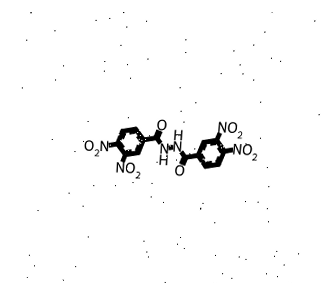 O=C(NNC(=O)c1ccc([N+](=O)[O-])c([N+](=O)[O-])c1)c1ccc([N+](=O)[O-])c([N+](=O)[O-])c1